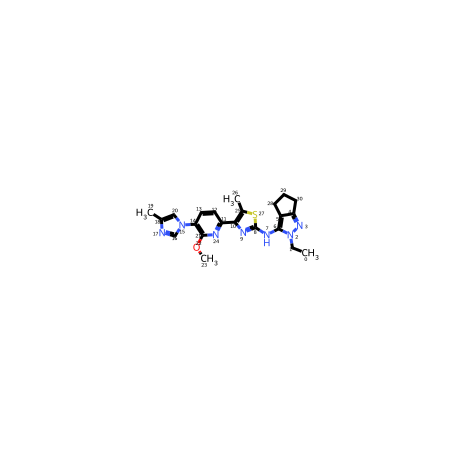 CCn1nc2c(c1Nc1nc(-c3ccc(-n4cnc(C)c4)c(OC)n3)c(C)s1)CCC2